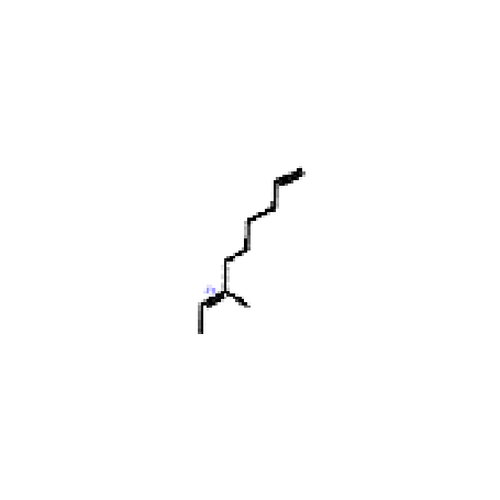 C=CCCCC/C(C)=C/C